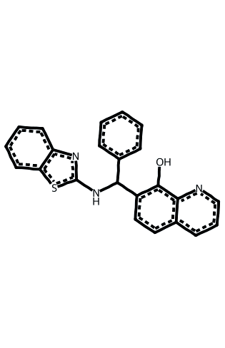 Oc1c(C(Nc2nc3ccccc3s2)c2ccccc2)ccc2cccnc12